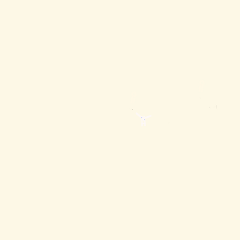 CCCc1ccc(C(=O)Nc2ccc(C(C)=O)cc2)cc1